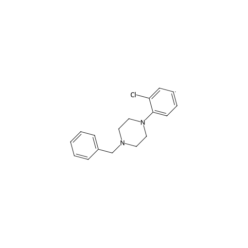 Clc1c[c]ccc1N1CCN(Cc2ccccc2)CC1